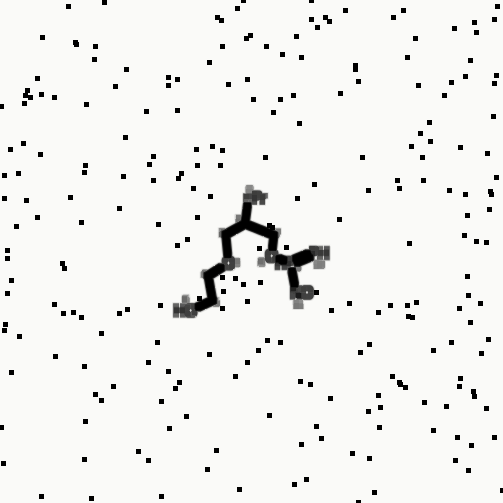 CCCC(COCCO)CO[PH](=P)N=O